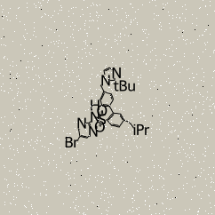 CC(C)Cc1ccc(S(=O)(=O)Nc2ncc(Br)cn2)c(-c2ccc(Cn3ccnc3C(C)(C)C)cc2)c1